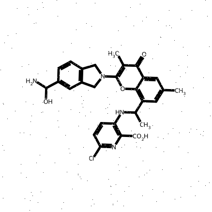 Cc1cc(C(C)Nc2ccc(Cl)nc2C(=O)O)c2oc(N3Cc4ccc(C(N)O)cc4C3)c(C)c(=O)c2c1